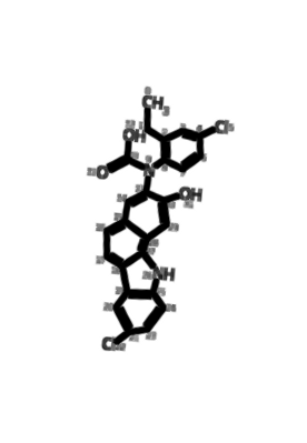 CCc1cc(Cl)ccc1N(C(=O)O)c1cc2ccc3c4cc(Cl)ccc4[nH]c3c2cc1O